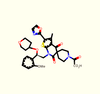 COc1ccccc1[C@H](CN1C(=O)C2(CCN(C(=O)C(=O)O)CC2)C(=O)c2c1sc(-c1ncco1)c2C)OC1CCOCC1